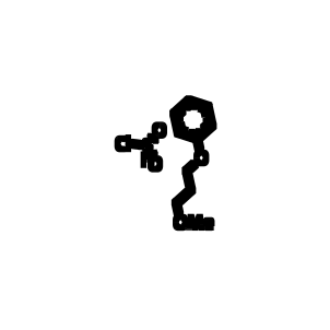 COCCCOc1ccccc1.O=[SH](=O)Cl